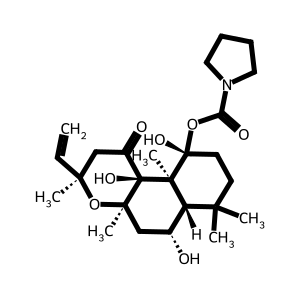 C=C[C@@]1(C)CC(=O)[C@]2(O)[C@]3(C)[C@@H]([C@H](O)C[C@@]2(C)O1)C(C)(C)CC[C@@]3(O)OC(=O)N1CCCC1